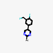 CC(=O)c1ncc(-c2ccc(F)c(CF)c2)cn1